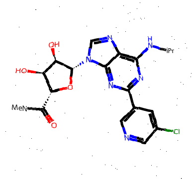 CNC(=O)[C@H]1O[C@@H](n2cnc3c(NC(C)C)nc(-c4cncc(Cl)c4)nc32)[C@H](O)[C@@H]1O